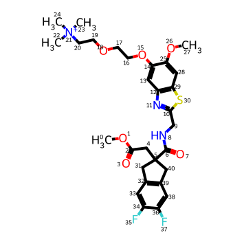 COC(=O)CC1(C(=O)NCc2nc3cc(OCCOCC[N+](C)(C)C)c(OC)cc3s2)Cc2cc(F)c(F)cc2C1